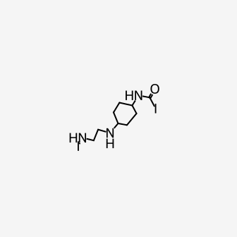 O=C(I)NC1CCC(NCCNI)CC1